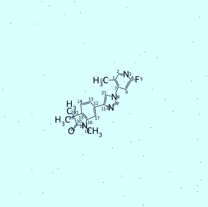 Cc1cnc(F)cc1-n1cnc(-c2ccc3c(c2)N(C)C(=O)C3(C)C)c1